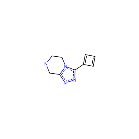 C1=CC(c2nnc3n2CC[N]C3)=C1